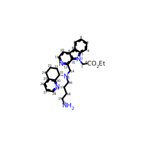 CCOC(=O)Cn1c2ccccc2c2ccnc(CN(CCCCN)[C@H]3CCCc4cccnc43)c21